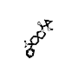 COC1(C(=O)N2CCC3(CCC(c4ccccc4)(N(C)C)CC3)C2)CC1